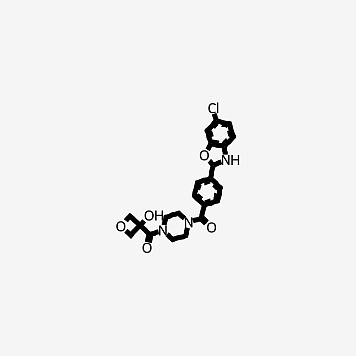 O=C(c1ccc(C2Nc3ccc(Cl)cc3O2)cc1)N1CCN(C(=O)C2(O)COC2)CC1